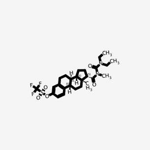 CCN(CC)C(=O)N(C)C(=O)[C@H]1CC[C@H]2[C@@H]3CCc4cc(OS(=O)(=O)C(F)(F)F)ccc4[C@H]3CC[C@]12C